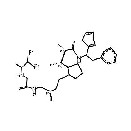 C=C(CNC(C)C(C(C)C)C(C)C)NC[C@H](C)CCC1CCCC1[C@H](C)[C@H](C)C(=C)NC(Cc1ccccc1)C1=CC=CC1